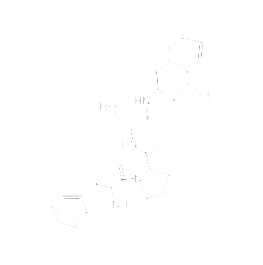 NC(Cc1ccccc1)C(=O)N1CCCC1C(=O)NC(CO)C(=O)NC(CCO)Cc1ccccc1